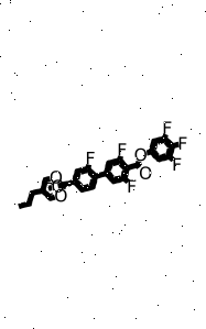 CCCC12COC(c3ccc(-c4cc(F)c(C(=O)Oc5cc(F)c(F)c(F)c5)c(F)c4)c(F)c3)(OC1)OC2